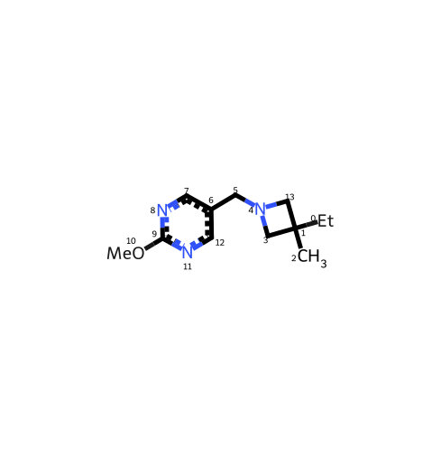 CCC1(C)CN(Cc2cnc(OC)nc2)C1